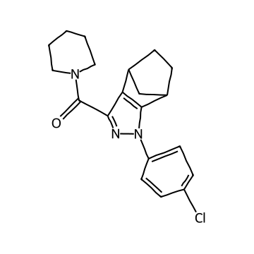 O=C(c1nn(-c2ccc(Cl)cc2)c2c1C1CCC2C1)N1CCCCC1